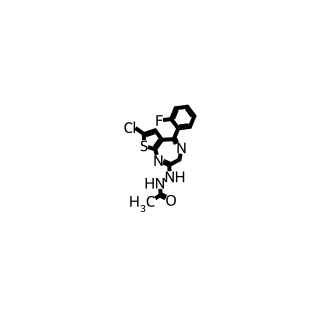 CC(=O)NNC1=Nc2sc(Cl)cc2C(c2ccccc2F)=NC1